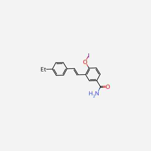 CCc1ccc(/C=C/c2cc(C(N)=O)ccc2OI)cc1